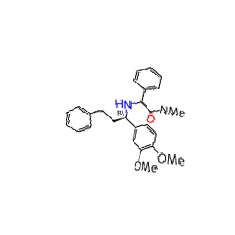 CNC(=O)C(N[C@H](CCc1ccccc1)c1ccc(OC)c(OC)c1)c1ccccc1